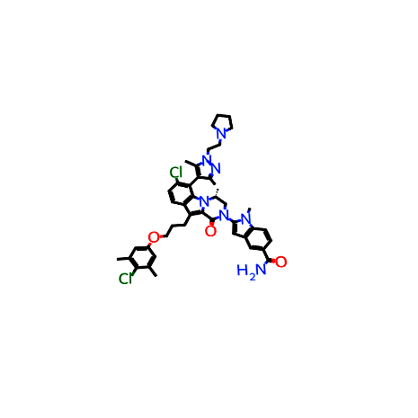 Cc1cc(OCCCc2c3n(c4c(-c5c(C)nn(CCN6CCCC6)c5C)c(Cl)ccc24)[C@H](C)CN(c2cc4cc(C(N)=O)ccc4n2C)C3=O)cc(C)c1Cl